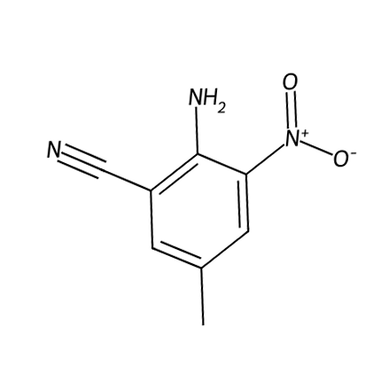 Cc1cc(C#N)c(N)c([N+](=O)[O-])c1